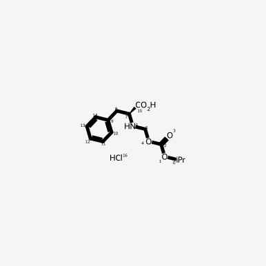 CC(C)OC(=O)OCN[C@@H](Cc1ccccc1)C(=O)O.Cl